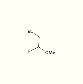 [CH2]CCC(F)OC